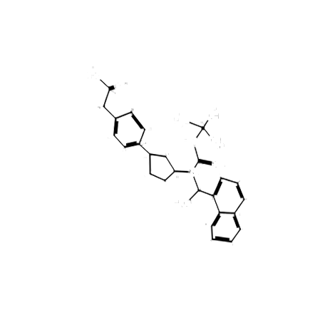 CC(c1cccc2ccccc12)N(C(=O)OC(C)(C)C)C1CCC(c2ccc(CC(=O)O)cc2)C1